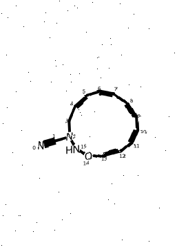 N#CN1CC=CC=CC=CC=CC=CON1